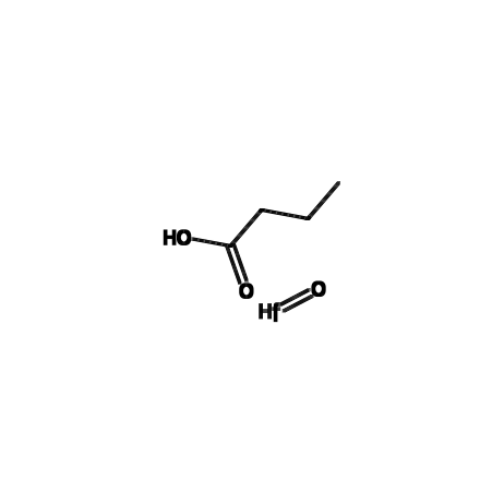 CCCC(=O)O.[O]=[Hf]